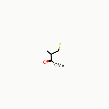 COC(=O)C(C)C[S]